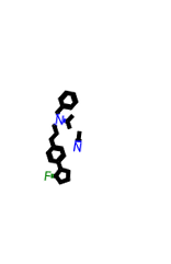 CC#N.CC(C)N(CCCc1ccc(C2CCCC2F)cc1)Cc1ccccc1